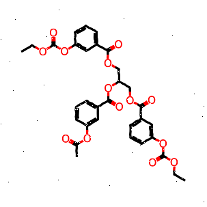 CCOC(=O)Oc1cccc(C(=O)OCC(COC(=O)c2cccc(OC(=O)OCC)c2)OC(=O)c2cccc(OC(C)=O)c2)c1